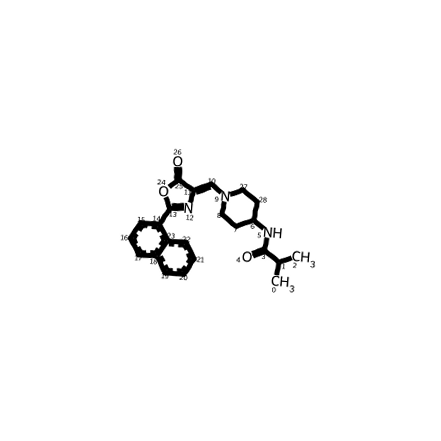 CC(C)C(=O)NC1CCN(C=C2N=C(c3cccc4ccccc34)OC2=O)CC1